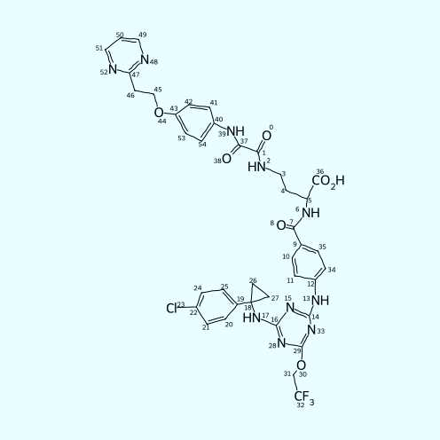 O=C(NCCC(NC(=O)c1ccc(Nc2nc(NC3(c4ccc(Cl)cc4)CC3)nc(OCC(F)(F)F)n2)cc1)C(=O)O)C(=O)Nc1ccc(OCCc2ncccn2)cc1